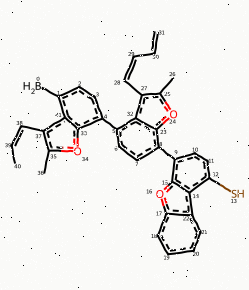 Bc1ccc(-c2ccc(-c3ccc(S)c4c3oc3ccccc34)c3oc(C)c(/C=C\C=C)c23)c2oc(C)c(/C=C\C)c12